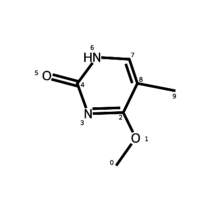 COc1nc(=O)[nH]cc1C